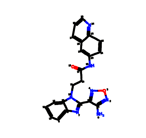 Nc1nonc1-c1nc2ccccc2n1CCC(=O)Nc1ccc2ncccc2c1